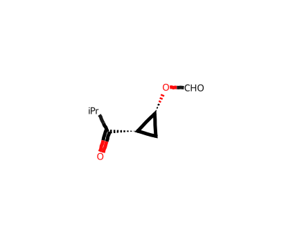 CC(C)C(=O)[C@H]1C[C@H]1OC=O